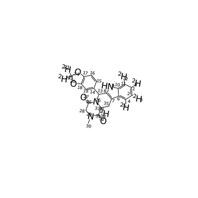 [2H]c1c([2H])c([2H])c2c3c([nH]c2c1[2H])C(c1ccc2c(c1)OC([2H])([2H])O2)N1C(=O)CN(C)C(=O)[C@@]1([2H])C3